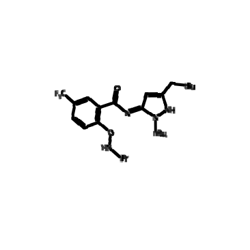 CCCCn1[nH]c(CC(C)(C)C)cc1=NC(=O)c1cc(C(F)(F)F)ccc1ONC(C)C